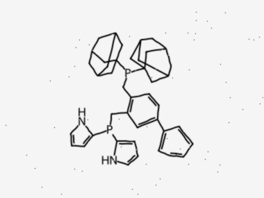 c1ccc(-c2ccc(CP(C34CC5CC(CC(C5)C3)C4)C34CC5CC(CC(C5)C3)C4)c(CP(c3ccc[nH]3)c3ccc[nH]3)c2)cc1